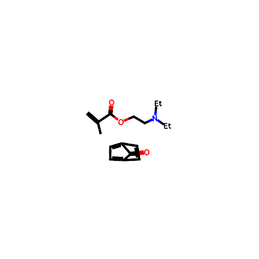 C=C(C)C(=O)OCCN(CC)CC.O=C1C2=CC=C1C=C2